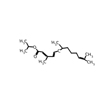 CC(C)=CCCCC(C)CC=CC(C)=CC(=O)OC(C)C